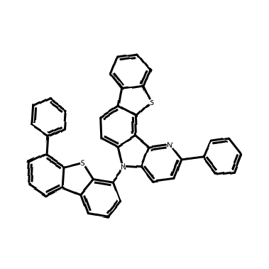 c1ccc(-c2ccc3c(n2)c2c4sc5ccccc5c4ccc2n3-c2cccc3c2sc2c(-c4ccccc4)cccc23)cc1